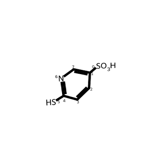 O=S(=O)(O)c1ccc(S)nc1